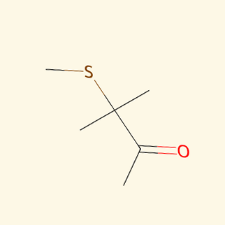 CSC(C)(C)C(C)=O